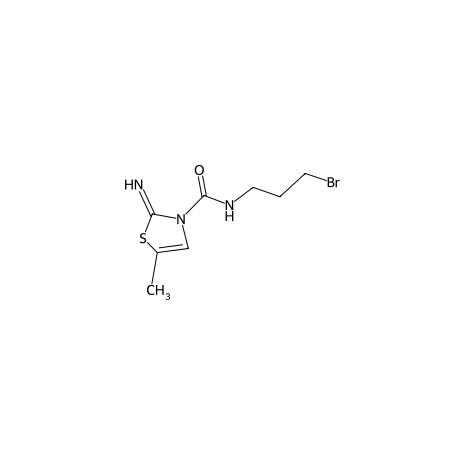 Cc1cn(C(=O)NCCCBr)c(=N)s1